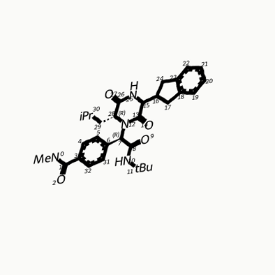 CNC(=O)c1ccc([C@H](C(=O)NC(C)(C)C)N2C(=O)C(C3Cc4ccccc4C3)NC(=O)[C@H]2CC(C)C)cc1